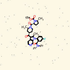 Cc1c(C(=O)[C@@H]2CCN(C(=O)[C@@H]3CC[C@@H](C)N3C(=O)OC(C)(C)C)[C@@H](C)C2)c2ccncc2n1-c1ccc(F)cc1C(=O)N(C(C)C)C(C)C